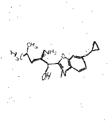 CC(C)C[C@@H](N)C(O)c1nc2ccc(C3CC3)cc2o1